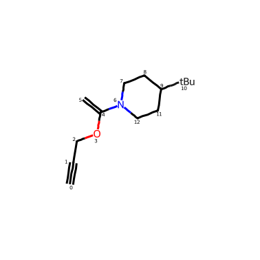 C#CCOC(=C)N1CCC(C(C)(C)C)CC1